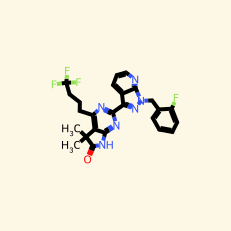 CC1(C)C(=O)Nc2nc(-c3nn(Cc4ccccc4F)c4ncccc34)nc(CCCC(F)(F)F)c21